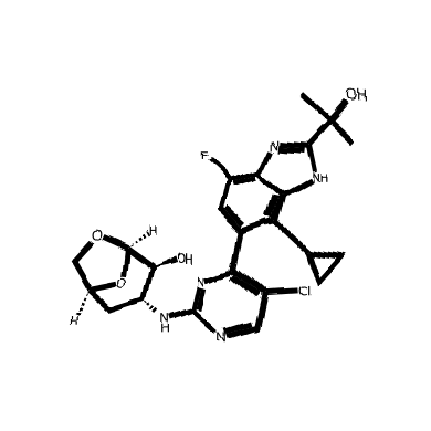 CC(C)(O)c1nc2c(F)cc(-c3nc(N[C@@H]4C[C@H]5CO[C@H](O5)[C@H]4O)ncc3Cl)c(C3CC3)c2[nH]1